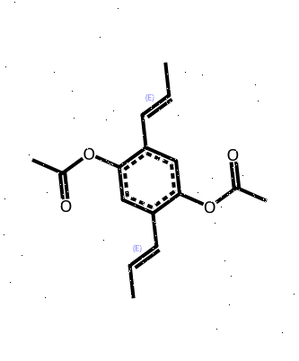 C/C=C/c1cc(OC(C)=O)c(/C=C/C)cc1OC(C)=O